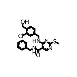 CSc1ncc(C(=O)NCc2ccccc2)c(NCc2ccc(CO)c(Cl)c2)n1